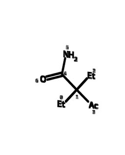 CCC(CC)(C(C)=O)C(N)=O